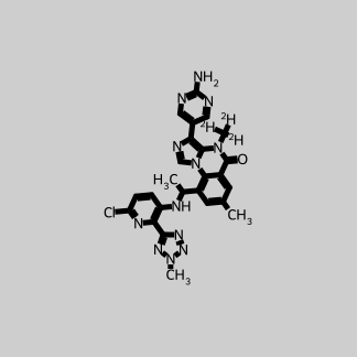 [2H]C([2H])([2H])n1c(=O)c2cc(C)cc(C(C)Nc3ccc(Cl)nc3-c3nnn(C)n3)c2n2cnc(-c3cnc(N)nc3)c12